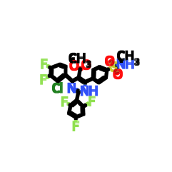 CNS(=O)(=O)c1ccc(C2=C(C(=O)OC)C(c3ccc(F)c(F)c3Cl)N=C(c3c(F)cc(F)cc3F)N2)cc1